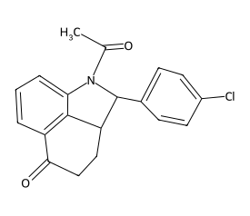 CC(=O)N1c2cccc3c2C(CCC3=O)C1c1ccc(Cl)cc1